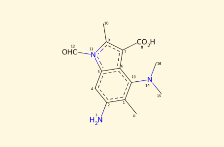 Cc1c(N)cc2c(c(C(=O)O)c(C)n2C=O)c1N(C)C